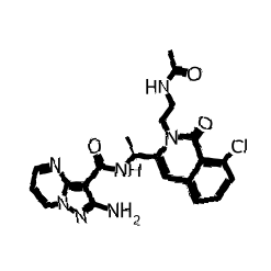 CC(=O)NCCn1c([C@H](C)NC(=O)c2c(N)nn3cccnc23)cc2cccc(Cl)c2c1=O